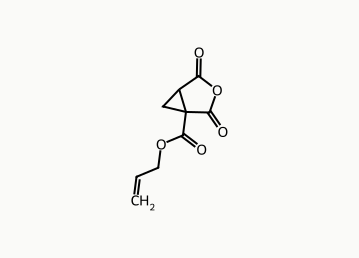 C=CCOC(=O)C12CC1C(=O)OC2=O